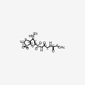 CCN[C@H]1C=C(S(=O)(=O)NC(=O)CNC(=O)COC(C)=O)SC2=C1C[C@H](C)S2(=O)=O